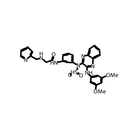 COc1cc(Nc2nc3ccccc3nc2N(c2cccc(NC(=O)CNCc3ccccn3)c2)[SH](=O)=O)cc(OC)c1